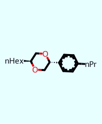 CCCCCC[C@H]1CO[C@H](c2ccc(CCC)cc2)CO1